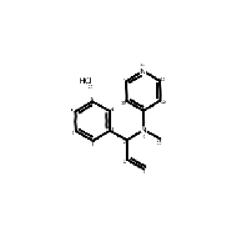 C=CC(c1ccccc1)N(C)c1ccncc1.Cl